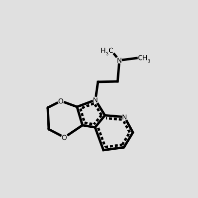 CN(C)CCn1c2c(c3cccnc31)OCCO2